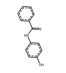 Oc1ccc(NC(=S)c2ccccc2)cc1